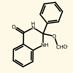 O=[C]OC1(c2ccccc2)NC(=O)c2ccccc2N1